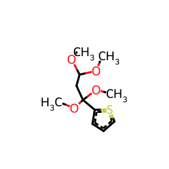 COC(CC(OC)(OC)c1cccs1)OC